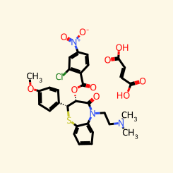 COc1ccc([C@H]2Sc3ccccc3N(CCN(C)C)C(=O)[C@H]2OC(=O)c2ccc([N+](=O)[O-])cc2Cl)cc1.O=C(O)/C=C/C(=O)O